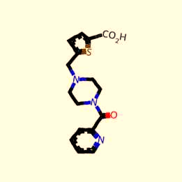 O=C(O)c1ccc(CN2CCN(C(=O)c3ccccn3)CC2)s1